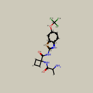 CC(N)C(=O)NC1(C(=O)Nc2nc3ccc(OC(F)(F)F)cc3s2)CCC1